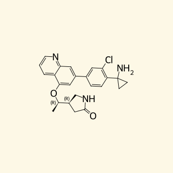 C[C@@H](Oc1cc(-c2ccc(C3(N)CC3)c(Cl)c2)cc2ncccc12)[C@H]1CNC(=O)C1